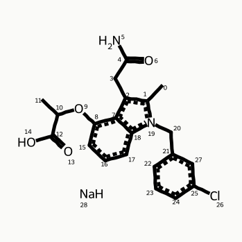 Cc1c(CC(N)=O)c2c(OC(C)C(=O)O)cccc2n1Cc1cccc(Cl)c1.[NaH]